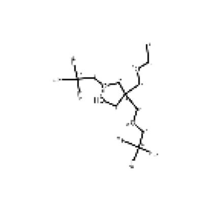 CCOCC(CO)(COCC(F)(F)F)COCC(F)(F)F